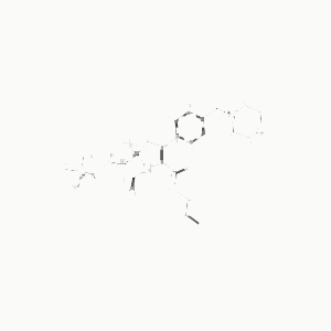 C=CCOC(=O)C1=C(c2ccc(CN3CCOCC3)cc2)C[C@@H]2[C@@H]([C@@H](C)O[Si](C)(C)C)C(=O)N12